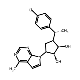 Cc1ncnc2c1ccn2C1CC([C@@H](C)c2ccc(Cl)cc2)[C@@H](O)[C@H]1O